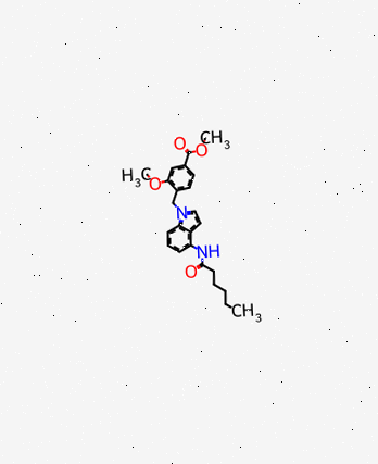 CCCCCC(=O)Nc1cccc2c1ccn2Cc1ccc(C(=O)OC)cc1OC